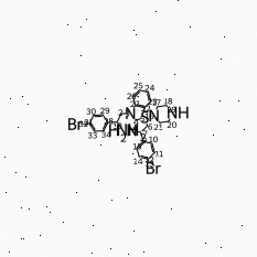 NC(CN1CS(CC(N)c2ccc(Br)cc2)(N2CCNCC2)c2ccc[c]c21)c1ccc(Br)cc1